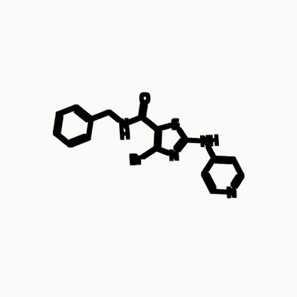 O=C(NCc1ccccc1)c1sc(Nc2ccncc2)nc1Br